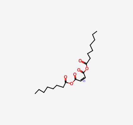 CCCCCCCC(=O)OC(=O)/C=C\C(=O)OC(=O)CCCCCCC